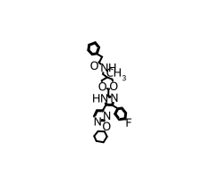 CC1(CNC(=O)Cc2ccccc2)COC(c2nc(-c3ccc(F)cc3)c(-c3ccnc(OC4CCCCC4)n3)[nH]2)OC1